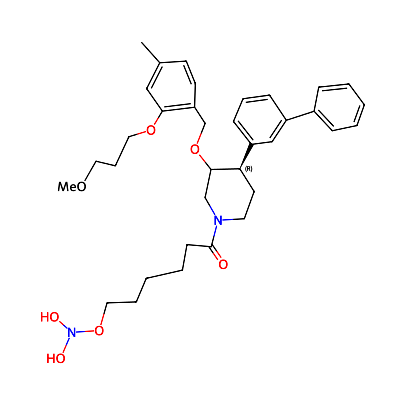 COCCCOc1cc(C)ccc1COC1CN(C(=O)CCCCCON(O)O)CC[C@@H]1c1cccc(-c2ccccc2)c1